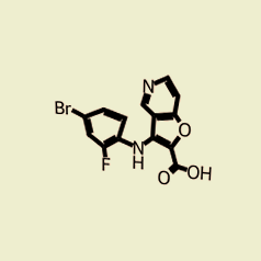 O=C(O)c1oc2ccncc2c1Nc1ccc(Br)cc1F